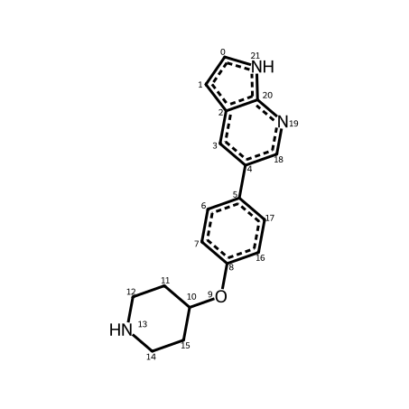 c1cc2cc(-c3ccc(OC4CCNCC4)cc3)cnc2[nH]1